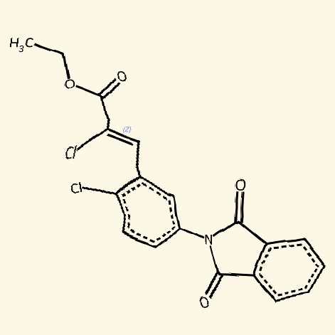 CCOC(=O)/C(Cl)=C/c1cc(N2C(=O)c3ccccc3C2=O)ccc1Cl